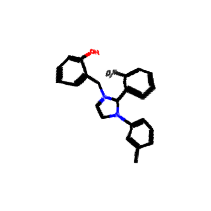 Cc1cccc(N2CCN(Cc3ccccc3O)C2c2ccccc2[N+](=O)[O-])c1